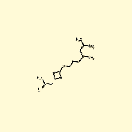 CC(C)CN(C)CCCO[C@H]1C[C@H](CC(C)C)C1